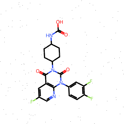 O=C(O)NC1CCC(n2c(=O)c3cc(F)cnc3n(-c3ccc(F)c(F)c3)c2=O)CC1